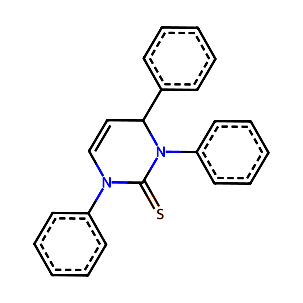 S=C1N(c2ccccc2)C=CC(c2ccccc2)N1c1ccccc1